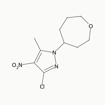 Cc1c([N+](=O)[O-])c(Cl)nn1C1CCCOCC1